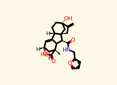 C=C1C[C@]23C[C@@]1(O)CC[C@H]2C1=C[C@H]2OC(=O)[C@@](C)(C1[C@@H]3C(=O)NCc1ccco1)[C@H]2O